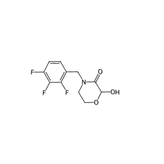 O=C1C(O)OCCN1Cc1ccc(F)c(F)c1F